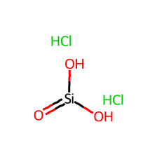 Cl.Cl.O=[Si](O)O